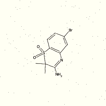 CC1(C)C(N)=Nc2cc(Br)ccc2S1(=O)=O